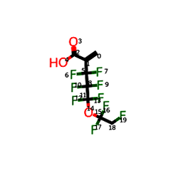 C=C(C(=O)O)C(F)(F)C(F)(F)C(F)(F)OC(F)(F)CF